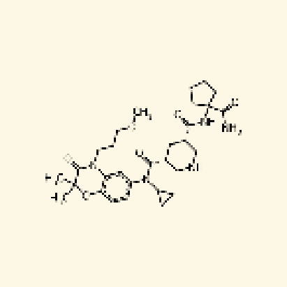 COCCCN1C(=O)C(C)(C)Oc2ccc(N(C(=O)[C@H]3CNC[C@@H](C(=O)NC4(C(N)=O)CCCC4)C3)C3CC3)cc21